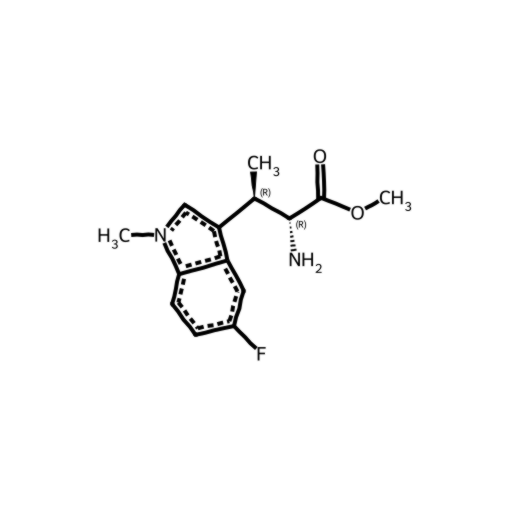 COC(=O)[C@H](N)[C@H](C)c1cn(C)c2ccc(F)cc12